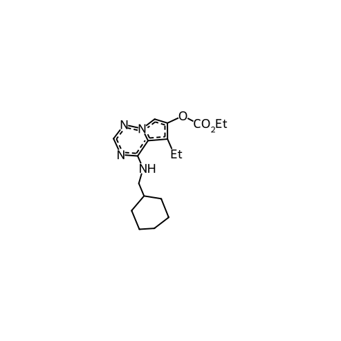 CCOC(=O)Oc1cn2ncnc(NCC3CCCCC3)c2c1CC